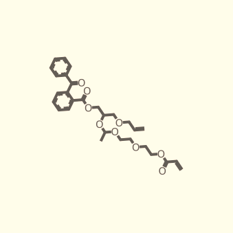 C=CCOCC(COC(=O)c1ccccc1C(=O)c1ccccc1)OC(C)OCCOCCOC(=O)C=C